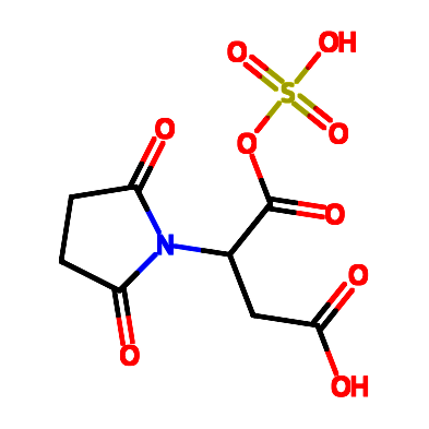 O=C(O)CC(C(=O)OS(=O)(=O)O)N1C(=O)CCC1=O